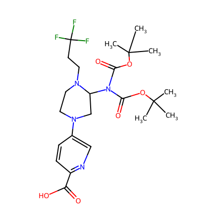 CC(C)(C)OC(=O)N(C(=O)OC(C)(C)C)C1CN(c2ccc(C(=O)O)nc2)CCN1CCC(F)(F)F